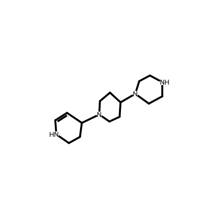 C1=CC(N2CCC(N3CCNCC3)CC2)CCN1